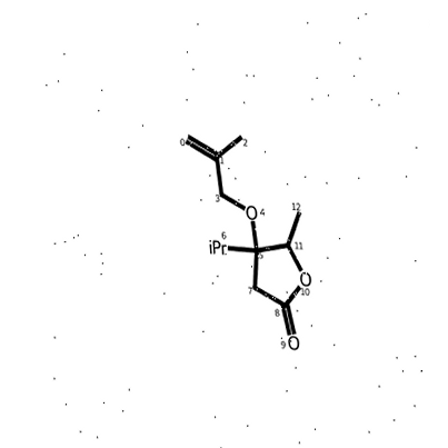 C=C(C)COC1(C(C)C)CC(=O)OC1C